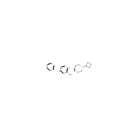 c1ccc(Oc2ccc3c(c2)COC2(CCN(C4CCC4)CC2)O3)cc1